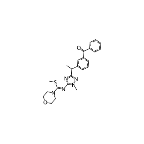 CSC(=Nc1nc(C(C)c2cccc(C(=O)c3ccccc3)c2)nn1C)N1CCOCC1